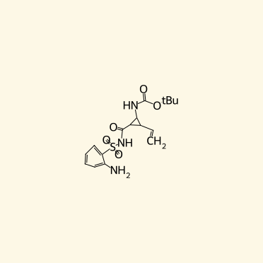 C=CC1C(NC(=O)OC(C)(C)C)C1C(=O)NS(=O)(=O)c1ccccc1N